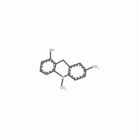 Cc1ccc2c(c1)Cc1c(O)cccc1N2C